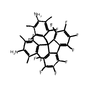 Cc1c(N)c(C)c(F)c(C2(c3c(F)c(C)c(N)c(C)c3F)c3c(F)c(F)c(F)c(F)c3-c3c(F)c(F)c(F)c(F)c32)c1F